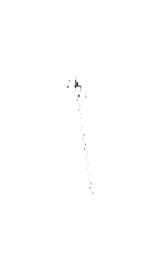 C=CC(=O)NC(C)([CH2][Na])CCCCCCCCCCCCCCCCCCCCCCC